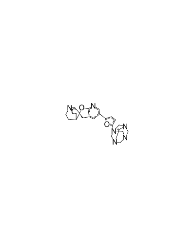 c1nc2c(cc1-c1ccc([N+]34CN5CN(CN(C5)C3)C4)o1)C[C@@]1(CN3CCC1CC3)O2